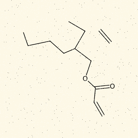 C=C.C=CC(=O)OCC(CC)CCCC